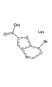 O=C(O)c1cc2nccc(Br)c2s1.[LiH]